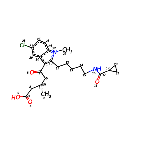 C[C@H](CC(=O)O)CC(=O)c1c(CCCCCNC(=O)C2CC2)n(C)c2ccc(Cl)cc12